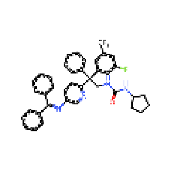 O=C(NCC(c1ccccc1)(c1cc(F)cc(C(F)(F)F)c1)c1ccc(N=C(c2ccccc2)c2ccccc2)cn1)NC1CCCC1